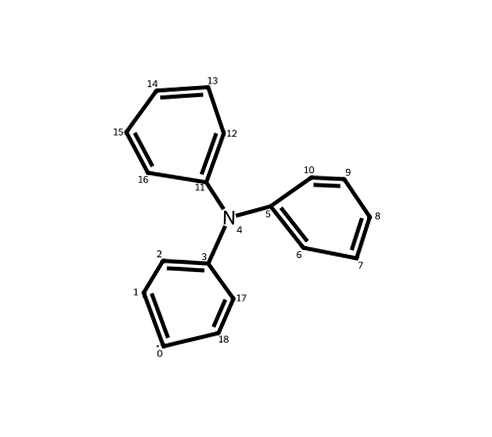 [c]1[c]cc(N(c2ccccc2)c2ccccc2)cc1